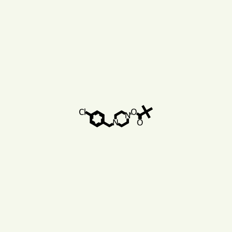 CC(C)(C)C(=O)ON1CCN(Cc2ccc(Cl)cc2)CC1